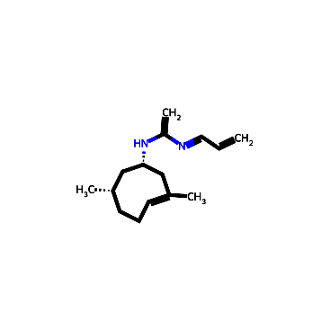 C=C/C=N/C(=C)N[C@@H]1C/C(C)=C/CC[C@H](C)C1